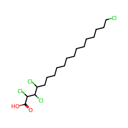 O=C(O)C(Cl)C(Cl)C(Cl)CCCCCCCCCCCCCCCl